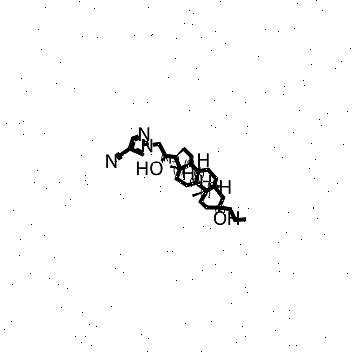 CCC[C@@]1(O)CC[C@@]2(C)[C@H](CC[C@@H]3[C@@H]2CC[C@]2(C)[C@@H]([C@@H](O)Cn4cc(C#N)cn4)CC[C@@H]32)C1